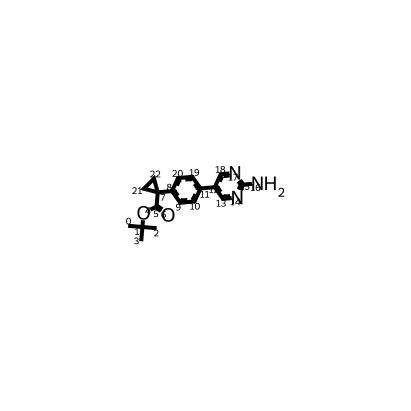 CC(C)(C)OC(=O)C1(c2ccc(-c3cnc(N)nc3)cc2)CC1